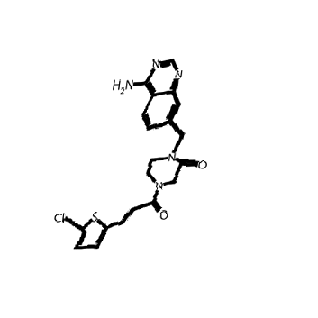 Nc1ncnc2cc(CN3CCN(C(=O)CCc4ccc(Cl)s4)CC3=O)ccc12